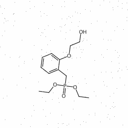 CCOP(=O)(Cc1ccccc1OCCO)OCC